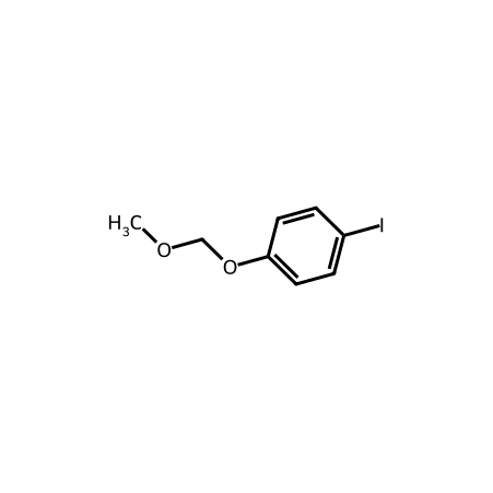 COCOc1ccc(I)cc1